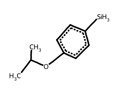 CC(C)Oc1ccc([SiH3])cc1